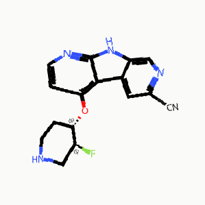 N#Cc1cc2c(cn1)[nH]c1nccc(O[C@H]3CCNC[C@@H]3F)c12